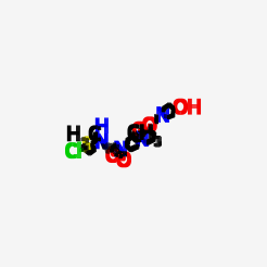 C=C(NC[C@H]1CN(c2ccc(-n3cccc(OCCN4CCC(O)CC4)c3=O)c(C)c2)C(=O)O1)c1ccc(Cl)s1